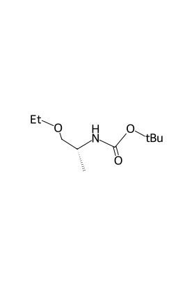 CCOC[C@@H](C)NC(=O)OC(C)(C)C